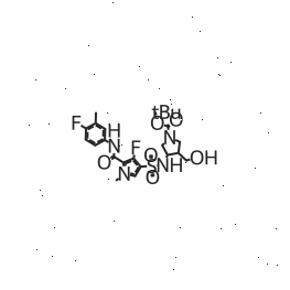 Cc1cc(NC(=O)c2c(F)c(S(=O)(=O)NC3CN(C(=O)OC(C)(C)C)CC3CO)cn2C)ccc1F